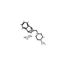 CN1CCN(CC2CC3CC2c2ccccc23)CC1.Cl.Cl